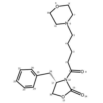 O=C(CCCCN1CCOCC1)N1C(=O)OC[C@@H]1Cc1ccccc1